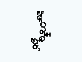 O=C(Cc1ccc(N2CCC(F)(F)C2)cc1)NC1CCN(c2cncc(C(F)(F)F)c2)C1